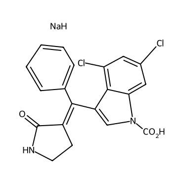 O=C1NCCC1=C(c1ccccc1)c1cn(C(=O)O)c2cc(Cl)cc(Cl)c12.[NaH]